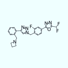 Fc1cc(-c2nnc(C(F)F)o2)ccc1Cn1cc(-c2ccccc2CN2CCC2)nn1